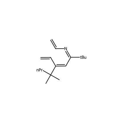 C=C/N=C(\C=C(/C=C)C(C)(C)CCC)C(C)(C)C